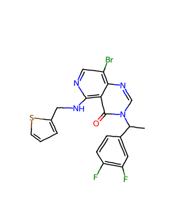 CC(c1ccc(F)c(F)c1)n1cnc2c(Br)cnc(NCc3cccs3)c2c1=O